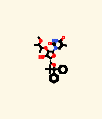 CO[C@H](C)[C@H](C)OC1C(O)[C@@H](CO[Si](c2ccccc2)(c2ccccc2)C(C)(C)C)O[C@H]1n1cc(C)c(=O)[nH]c1=O